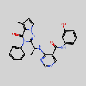 Cc1ccn2nc([C@H](C)Nc3ncncc3C(=O)Nc3cccc(O)c3)n(-c3ccccc3)c(=O)c12